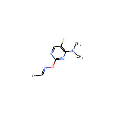 CC(C)C=NOc1ncc(F)c(N(C)C)n1